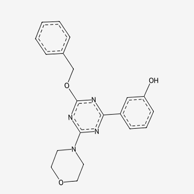 Oc1cccc(-c2nc(OCc3ccccc3)nc(N3CCOCC3)n2)c1